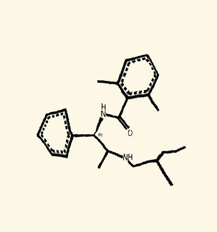 CCC(C)CNC(C)[C@H](NC(=O)c1c(C)cccc1C)c1ccccc1